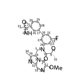 COc1cn2c(CN3C(=O)[C@@H](C)Oc4c(F)cc(-c5cccc(S(C)(=N)=O)c5)cc43)c(C)nc2cn1